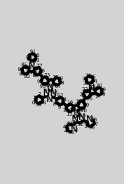 c1ccc(-c2nc(-c3ccc(-c4ccc5c(c4)c4cc(-c6ccc7c(c6)c6ccccc6n7-c6ccccc6)ccc4n5-c4nc(-c5ccccn5)cc(-c5ccccn5)n4)cc3)nc(-n3c4ccccc4c4cc(-c5ccc6c(c5)c5ccccc5n6-c5ccccc5)ccc43)n2)cc1